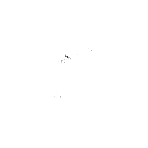 CCCCCCCCCCCCCCCCCCOC(=O)C(C)NC(=O)CCCCCCCCCCC